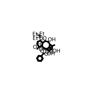 CC[Si](CC)(CC)O[C@H]1CC2OC[C@@]2(OC(C)=O)[C@H]2[C@H](OC(=O)c3ccccc3)[C@]3(O)[C@@H](O)[C@H](O)C(C)=C([C@@H](O)C(=O)[C@]12C)C3(C)C